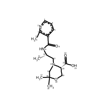 Cc1ncccc1C(=O)N[C@@H](C)CN1CC(C)(C)OC[C@H]1C(=O)O